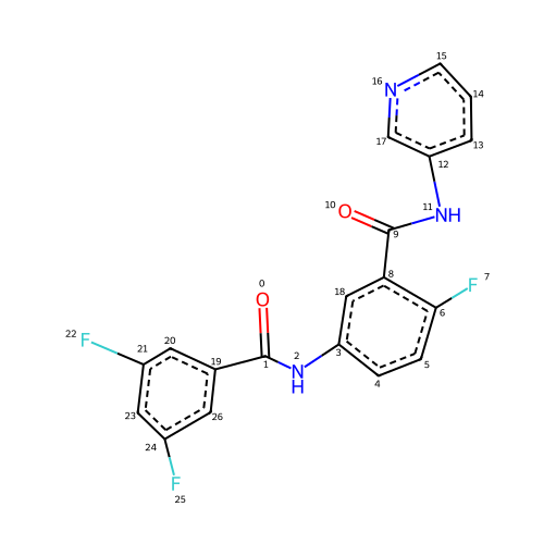 O=C(Nc1ccc(F)c(C(=O)Nc2cccnc2)c1)c1cc(F)cc(F)c1